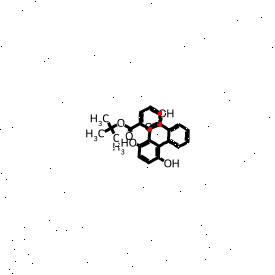 CC(C)(C)OC(=O)c1ccccc1-c1c(O)ccc(O)c1-c1ccccc1C(=O)O